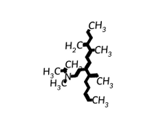 C=C(CCC)/C(C)=C/C=C(\C=C\N(C)C(=C)C)C(=C/C)/CC/C=C\C